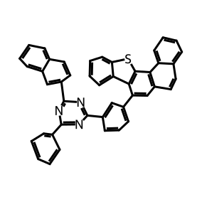 c1ccc(-c2nc(-c3cccc(-c4cc5ccc6ccccc6c5c5sc6ccccc6c45)c3)nc(-c3ccc4ccccc4c3)n2)cc1